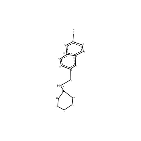 Fc1ccc2cc(CNC3CCCCC3)ccc2c1